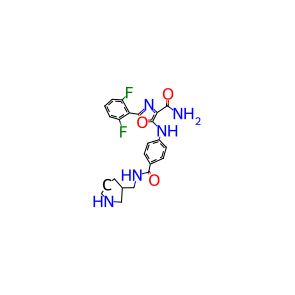 NC(=O)c1nc(-c2c(F)cccc2F)oc1Nc1ccc(C(=O)NCC2CCCNC2)cc1